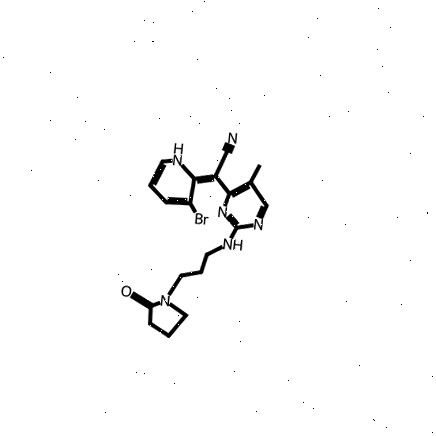 Cc1cnc(NCCCN2CCCC2=O)nc1C(C#N)=C1NC=CC=C1Br